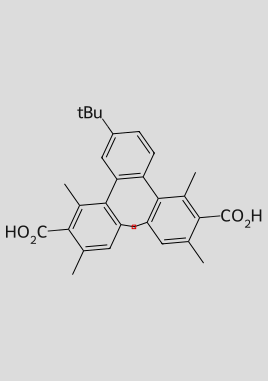 Cc1cc(C)c(-c2ccc(C(C)(C)C)cc2-c2c(C)cc(C)c(C(=O)O)c2C)c(C)c1C(=O)O